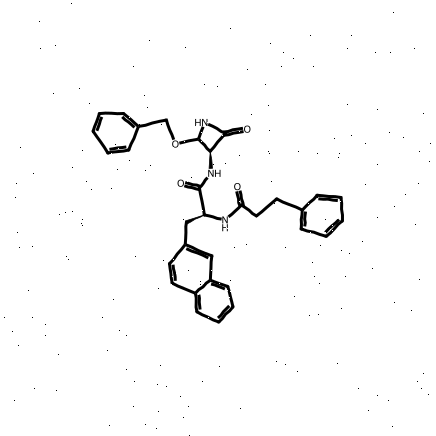 O=C(CCc1ccccc1)N[C@@H](Cc1ccc2ccccc2c1)C(=O)N[C@@H]1C(=O)NC1OCc1ccccc1